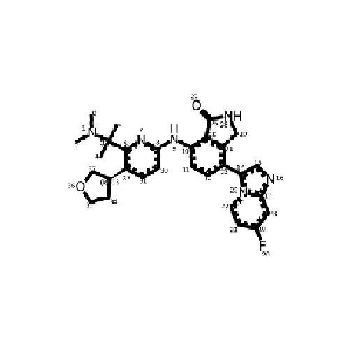 CN(C)C(C)(C)c1nc(Nc2ccc(-c3cnc4cc(F)ccn34)c3c2C(=O)NC3)ccc1[C@H]1CCOC1